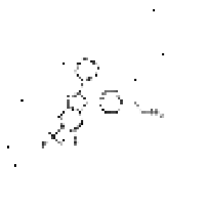 NCCc1ccc(-n2c(-c3ccccn3)nc3cc(C(F)(F)F)c(Cl)cc32)cc1